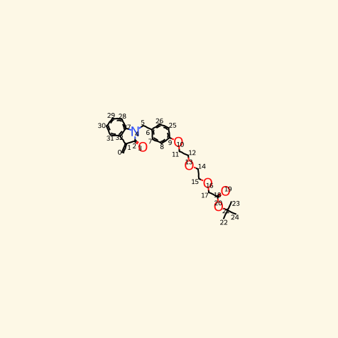 C=C1C(=O)N(Cc2ccc(OCCOCCOCC(=O)OC(C)(C)C)cc2)c2ccccc21